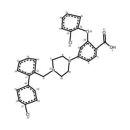 O=C(O)c1ccc(N2CCN(Cc3ccccc3-c3ccc(Cl)cc3)CC2)cc1Oc1ccccc1Cl